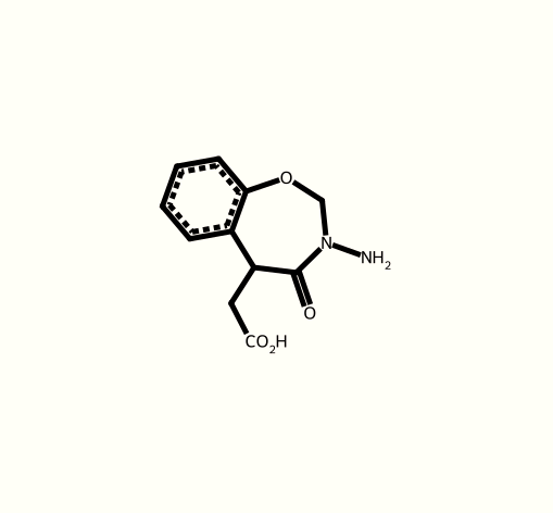 NN1COc2ccccc2C(CC(=O)O)C1=O